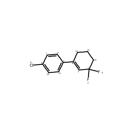 FC1(F)C=C(c2ccc(Cl)cc2)CCC1